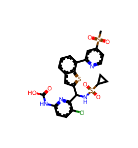 CS(=O)(=O)c1ccnc(-c2cccc3cc(C(NS(=O)(=O)C4CC4)c4nc(NC(=O)O)ccc4Cl)sc23)c1